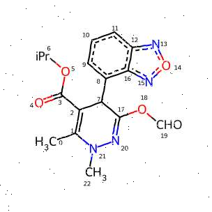 CC1=C(C(=O)OC(C)C)C(c2cccc3nonc23)C(OC=O)=NN1C